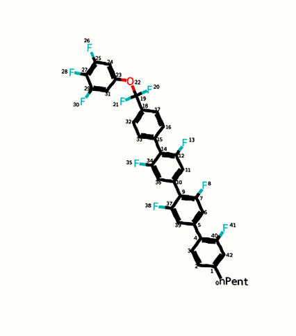 CCCCCc1ccc(-c2cc(F)c(-c3cc(F)c(-c4ccc(C(F)(F)Oc5cc(F)c(F)c(F)c5)cc4)c(F)c3)c(F)c2)c(F)c1